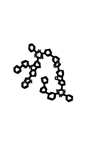 c1ccc(-c2cccc(-c3cccc(-c4nc(-c5ccccc5)nc(-c5ccc6c(c5)oc5cc(-c7cn8ccc(-c9cccc(-c%10nc(-c%11ccccc%11)nc(-c%11ccc%12c%13ccc(-c%14cn%15ccccc%15n%14)cc%13n(-c%13cccc(-c%14ccccc%14)c%13)c%12c%11)n%10)c9)cc8n7)ccc56)n4)c3)c2)cc1